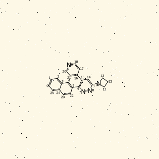 c1ccc2cc(-c3nnc(N4CCC4)cc3-c3ccncc3)ccc2c1